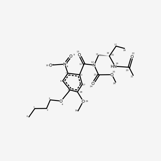 CCCCOc1cc([N+](=O)[O-])c(C(=O)N(C[C@H](CC)NC(C)=O)C(=O)OC)cc1OC